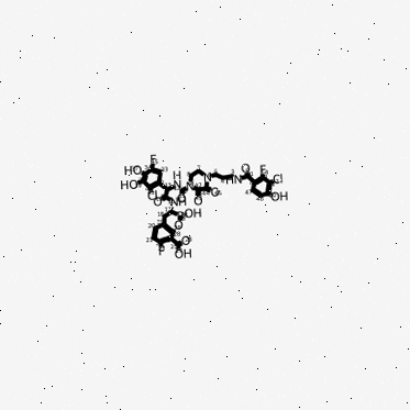 O=C(NCCCN1CCN(C(=O)NC(C(=O)N[C@H]2Cc3ccc(F)c(C(=O)O)c3OB2O)c2cc(F)c(O)c(O)c2Cl)C(=O)C1=O)c1ccc(O)c(Cl)c1F